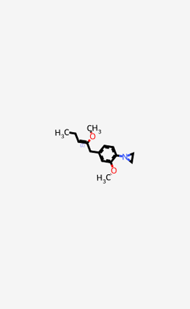 CC/C=C(/Cc1ccc(N2CC2)c(OC)c1)OC